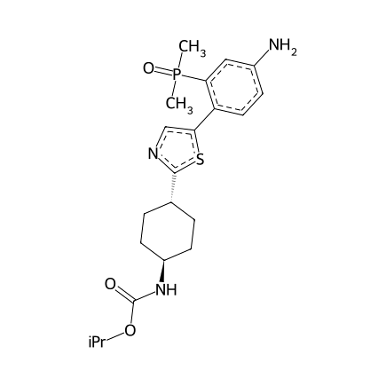 CC(C)OC(=O)N[C@H]1CC[C@H](c2ncc(-c3ccc(N)cc3P(C)(C)=O)s2)CC1